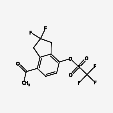 CC(=O)c1ccc(OS(=O)(=O)C(F)(F)F)c2c1CC(F)(F)C2